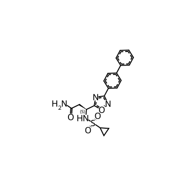 NC(=O)C[C@H](NS(=O)(=O)C1CC1)c1nc(-c2ccc(-c3ccccc3)cc2)no1